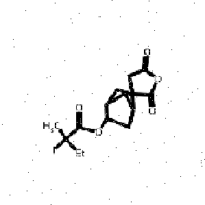 CCC(C)(I)C(=O)OC1CC2CC1CC21CC(=O)OC1=O